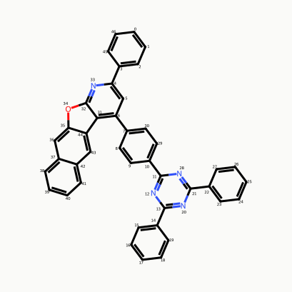 c1ccc(-c2cc(-c3ccc(-c4nc(-c5ccccc5)nc(-c5ccccc5)n4)cc3)c3c(n2)oc2cc4ccccc4cc23)cc1